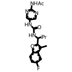 CC(=O)Nc1ncc(NC(=O)NC(c2oc3ccc(F)cc3c2C)C(C)C)cn1